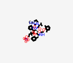 Cc1cccc(C)c1OCC(=O)N[C@@H](Cc1ccccc1)[C@H](C[C@@H](Cc1ccccc1)NC(=O)[C@H](C(C)C)N1CCCNC1=O)OC(=O)C(C)(C)CCOP(=O)([O-])[O-].[Ca+2]